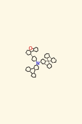 c1ccc2c(c1)-c1ccccc1C21c2ccccc2-c2cc(N(c3ccc(-c4cccc5oc6ccccc6c45)cc3)c3ccc4c5ccccc5c5ccccc5c4c3)ccc21